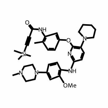 COc1cc(N2CCN(C)CC2)ccc1Nc1ccc(N2CCCCC2)c(Oc2ccc(C)c(NC(=O)C#C[Si](C)(C)C)c2)n1